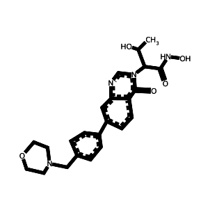 CC(O)C(C(=O)NO)n1cnc2cc(-c3ccc(CN4CCOCC4)cc3)ccc2c1=O